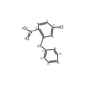 O=[N+]([O-])c1ccc(Cl)cc1Sc1ccccc1